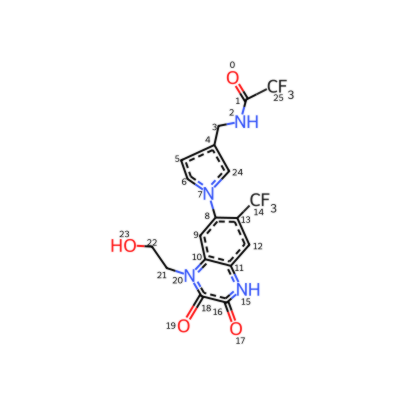 O=C(NCc1ccn(-c2cc3c(cc2C(F)(F)F)[nH]c(=O)c(=O)n3CCO)c1)C(F)(F)F